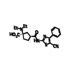 CCN(CC)[C@]1(C(=O)O)CC[C@H](C(=O)Nc2nc(-c3ccccc3)c(C#N)s2)C1